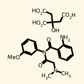 COc1cccc(N(C(=O)CN(C)C)C(=O)c2ccccc2N)c1.O=C(O)CC(O)(CC(=O)O)C(=O)O